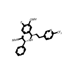 C=C(NC)[C@H](N[C@H](CCc1ccc(C(F)(F)F)nc1)c1ccc(F)c(OC)c1)c1ccccc1